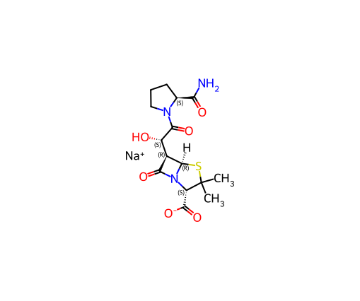 CC1(C)S[C@@H]2[C@H]([C@H](O)C(=O)N3CCC[C@H]3C(N)=O)C(=O)N2[C@H]1C(=O)[O-].[Na+]